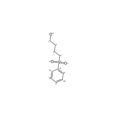 [O]CCCCS(=O)(=O)c1ccccc1